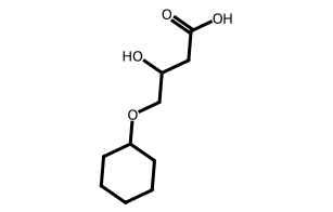 O=C(O)CC(O)COC1CCCCC1